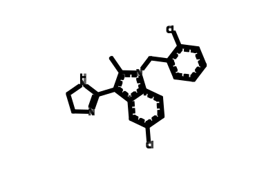 Cc1c(C2=NCCN2)c2cc(Cl)ccc2n1Cc1ccccc1Cl